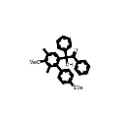 COc1c(C)cc(C(O)(C(=O)c2ccccc2)c2ccccc2)c(-c2ccc(SC)cc2)c1C